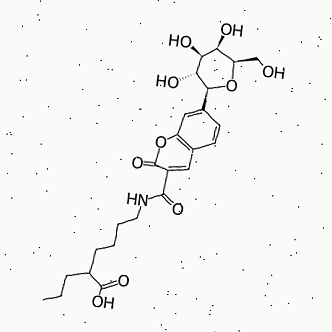 CCCC(CCCCNC(=O)c1cc2ccc([C@@H]3O[C@H](CO)[C@H](O)[C@H](O)[C@H]3O)cc2oc1=O)C(=O)O